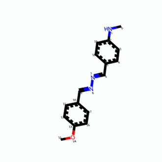 CNc1ccc(/C=N/N=C/c2ccc(OC)cc2)cc1